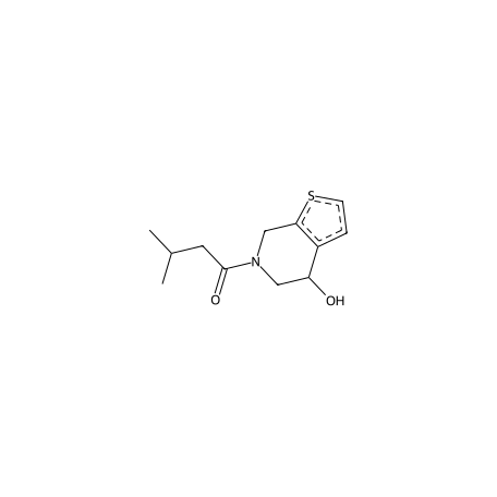 CC(C)CC(=O)N1Cc2sccc2C(O)C1